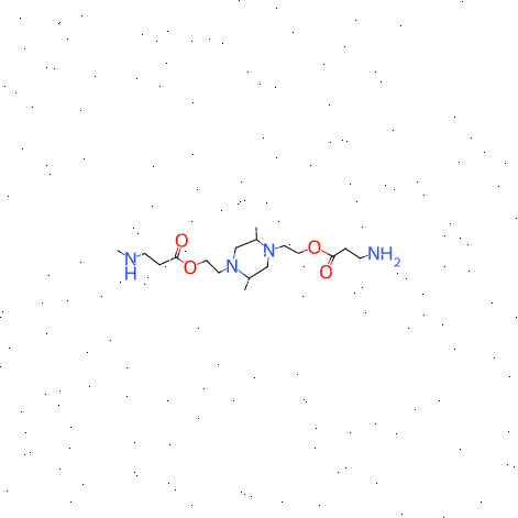 CNCCC(=O)OCCN1CC(C)N(CCOC(=O)CCN)CC1C